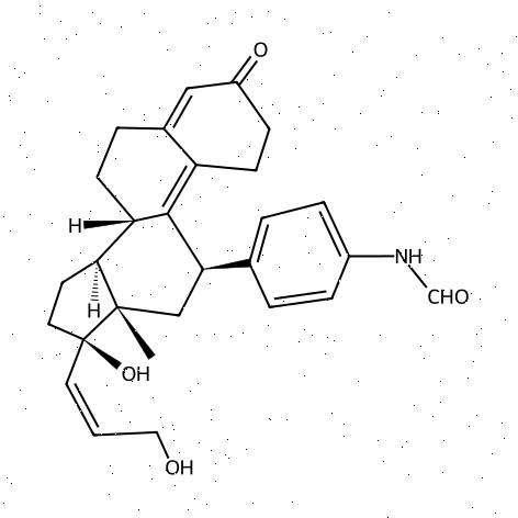 C[C@]12C[C@H](c3ccc(NC=O)cc3)C3=C4CCC(=O)C=C4CC[C@H]3[C@@H]1CC[C@@]2(O)/C=C\CO